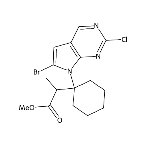 COC(=O)C(C)C1(n2c(Br)cc3cnc(Cl)nc32)CCCCC1